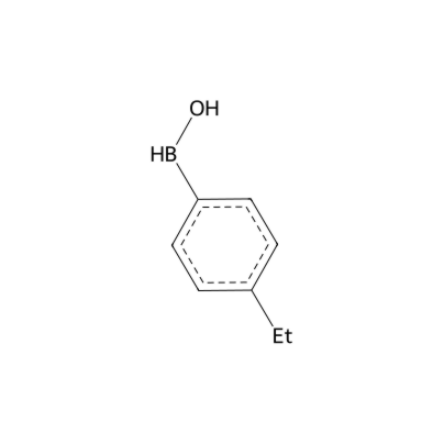 CCc1ccc(BO)cc1